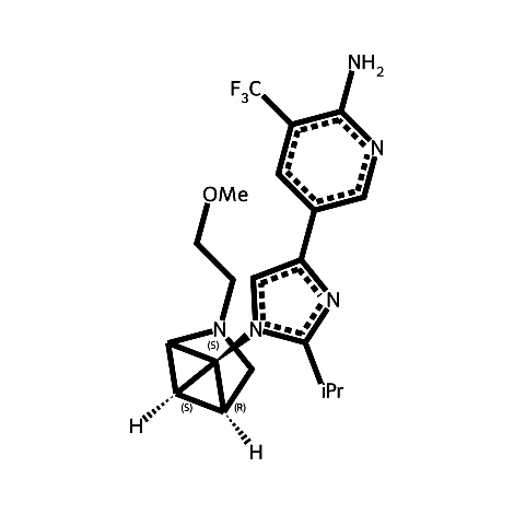 COCCN1C[C@H]2[C@H]3C1[C@@]32n1cc(-c2cnc(N)c(C(F)(F)F)c2)nc1C(C)C